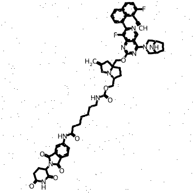 C#Cc1c(F)ccc2cccc(-c3ncc4c(N5CC6CCC(C5)N6)nc(OCC56CCC(COC(=O)NCCCCCCC(=O)Nc7ccc8c(c7)C(=O)N(C7CCC(=O)NC7=O)C8=O)N5CC(=C)C6)nc4c3F)c12